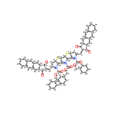 O=C1C(=Cc2cc3sc4c5sc6cc(C=C7C(=O)c8cc9cc%10ccccc%10cc9cc8C7=O)n(C(=O)OCc7ccccc7)c6c5n(C(=O)OCc5ccccc5)c4c3n2C(=O)OCc2ccccc2)C(=O)c2cc3cc4ccccc4cc3cc21